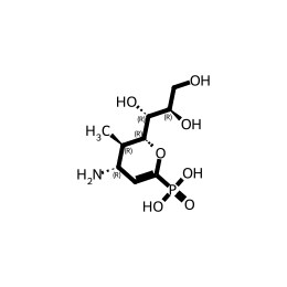 C[C@H]1[C@H]([C@H](O)[C@H](O)CO)OC(P(=O)(O)O)=C[C@@H]1N